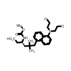 CC(C)(Cc1cccc2c(N(CCCl)CCCl)cccc12)C[C@@H](CC(=O)O)NC(=O)OC(C)(C)C